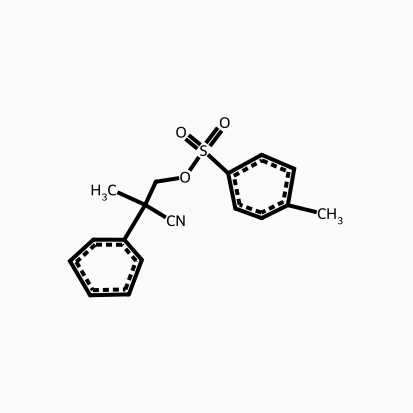 Cc1ccc(S(=O)(=O)OCC(C)(C#N)c2ccccc2)cc1